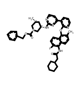 Cc1ccc2c(NC(=O)CC3CCCCC3)c(F)ccc2c1Oc1ncccc1-c1ccnc(N[C@H]2C[C@@H](C)CN(C(=O)OCc3ccccc3)C2)n1